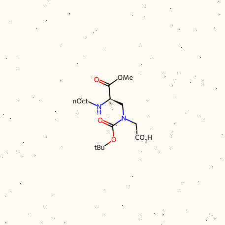 CCCCCCCCN[C@H](CN(CC(=O)O)C(=O)OC(C)(C)C)C(=O)OC